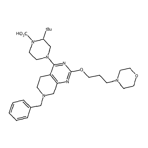 CC(C)(C)C1CN(c2nc(OCCCN3CCOCC3)nc3c2CCN(Cc2ccccc2)C3)CCN1C(=O)O